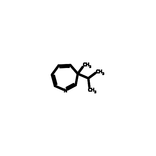 CC(C)C1(C)C=CC=CN=C1